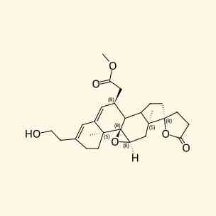 COC(=O)C[C@@H]1C=C2C=C(CCO)CC[C@]2(C)[C@@]23O[C@@H]2C[C@@]2(C)C(CC[C@@]24CCC(=O)O4)C13